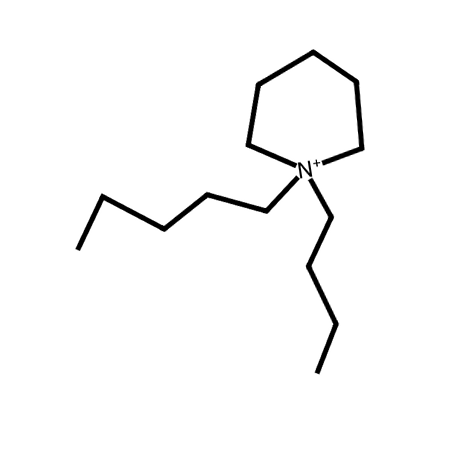 CCCCC[N+]1(CCCC)CCCCC1